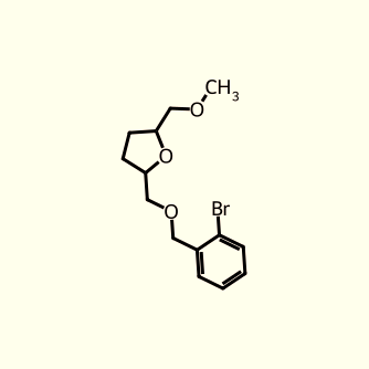 COCC1CCC(COCc2ccccc2Br)O1